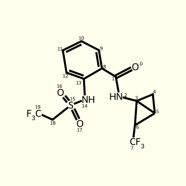 O=C(NC12CC1C2C(F)(F)F)c1ccccc1NS(=O)(=O)CC(F)(F)F